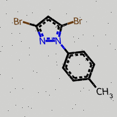 Cc1ccc(-n2nc(Br)cc2Br)cc1